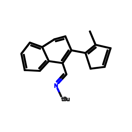 CC1=C(c2ccc3ccccc3c2/C=N/C(C)(C)C)CC=C1